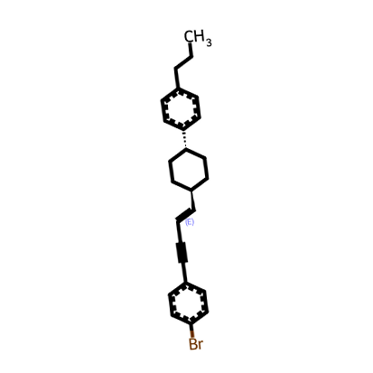 CCCc1ccc([C@H]2CC[C@H](/C=C/C#Cc3ccc(Br)cc3)CC2)cc1